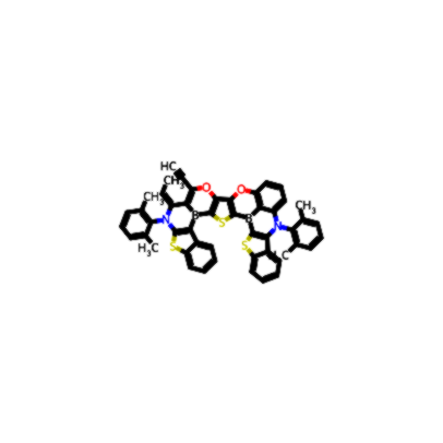 C#CC1=C2B(c3sc4c(c3O1)Oc1cccc3c1B4c1sc4ccccc4c1N3c1c(C)cccc1C)c1c(sc3ccccc13)N(c1c(C)cccc1C)/C2=C/C